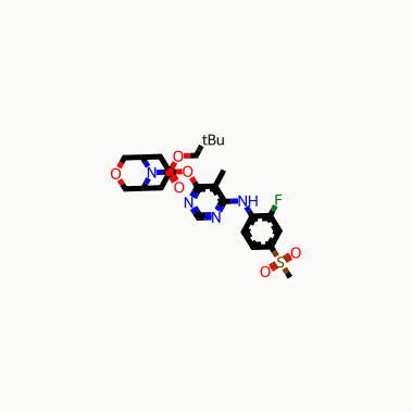 Cc1c(Nc2ccc(S(C)(=O)=O)cc2F)ncnc1OC1CC2COCC(C1)N2C(=O)OCC(C)(C)C